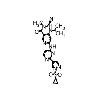 CC(C)Nc1cc(Nc2ccnc(-c3cnn(S(=O)(=O)C4CC4)c3)n2)ncc1C(=O)N(C)CC#N